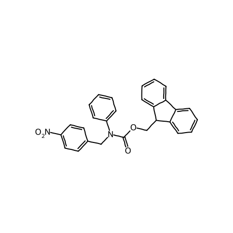 O=C(OCC1c2ccccc2-c2ccccc21)N(Cc1ccc([N+](=O)[O-])cc1)c1ccccc1